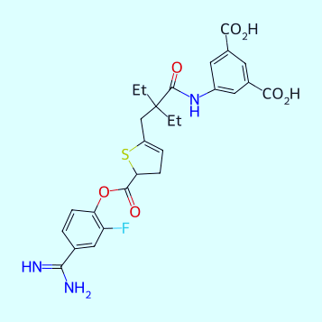 CCC(CC)(CC1=CCC(C(=O)Oc2ccc(C(=N)N)cc2F)S1)C(=O)Nc1cc(C(=O)O)cc(C(=O)O)c1